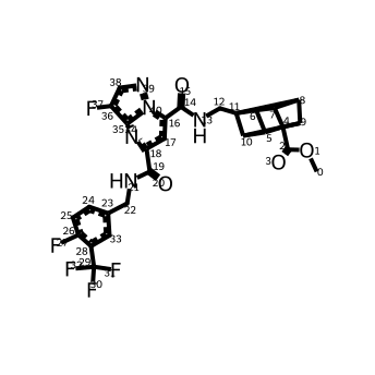 COC(=O)C12C3C4C1C1C2C3C41CNC(=O)c1cc(C(=O)NCc2ccc(F)c(C(F)(F)F)c2)nc2c(F)cnn12